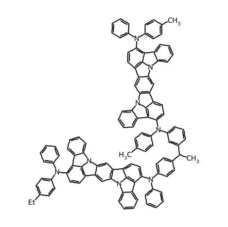 CCc1ccc(N(c2ccccc2)c2ccc3c4cc5c(cc4n4c6ccccc6c2c34)c2ccc(N(c3ccccc3)c3ccc(C(C)c4cccc(N(c6ccc(C)cc6)c6ccc7c8cc9c(cc8n8c%10ccccc%10c6c78)c6ccc(N(c7ccccc7)c7ccc(C)cc7)c7c8ccccc8n9c67)c4)cc3)c3c4ccccc4n5c23)cc1